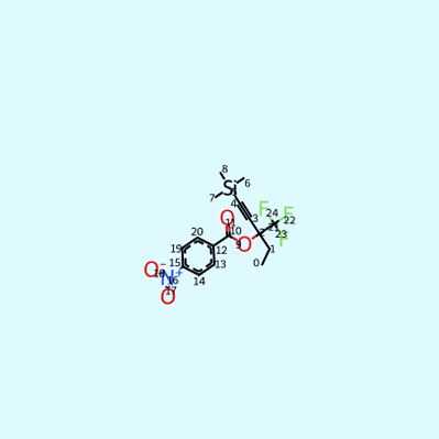 CCC(C#C[Si](C)(C)C)(OC(=O)c1ccc([N+](=O)[O-])cc1)C(F)(F)F